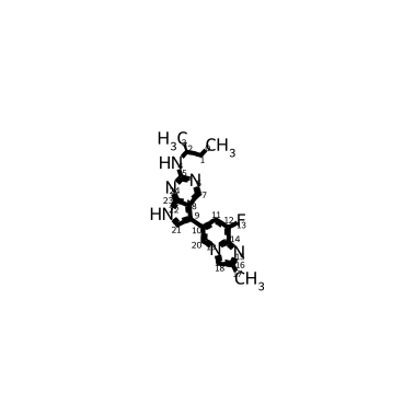 CC[C@H](C)Nc1ncc2c(-c3cc(F)c4nc(C)cn4c3)c[nH]c2n1